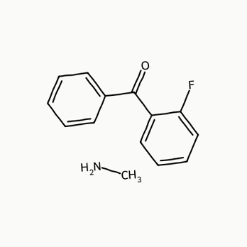 CN.O=C(c1ccccc1)c1ccccc1F